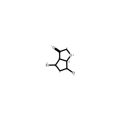 CCC1CC(CC)C2C(=O)COC12